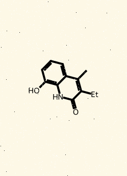 CCc1c(C)c2cccc(O)c2[nH]c1=O